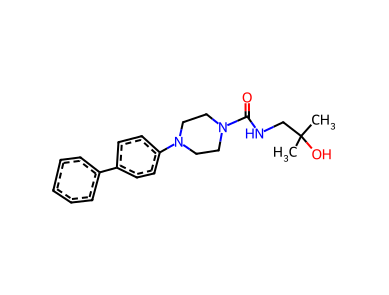 CC(C)(O)CNC(=O)N1CCN(c2ccc(-c3ccccc3)cc2)CC1